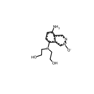 Nc1ccc(N(CCO)CCO)c2c[n+]([O-])ncc12